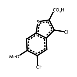 COc1cc2sc(C(=O)O)c(Cl)c2cc1O